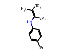 CS/C(Nc1ccc(C(C)C)cc1)=C(/C)[N+](=O)[O-]